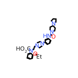 CCOc1ccccc1N(CCN1CCN(c2cccc(NC(=O)N3CCC(N4CCCC4)CC3)c2)CC1)C(=O)O